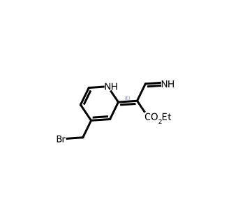 CCOC(=O)/C(C=N)=C1\C=C(CBr)C=CN1